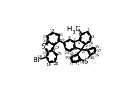 Cc1cccc2c1-c1cc(-c3cccc4sc5c(Br)cccc5c34)ccc1C21c2ccccc2Sc2ccccc21